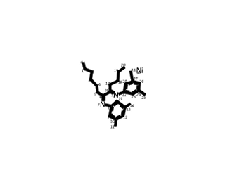 CCCCCCC(=Nc1cc(C)cc(C)c1)C(CCCC)=Nc1cc(C)cc(C)c1.[Ni]